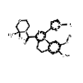 COc1cc2c(cc1OC(C)C)-n1c(-c3ccn(C)n3)nc(C(=O)N3CCOCC3(C)C)c1CC2